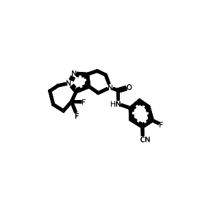 N#Cc1cc(NC(=O)N2CCc3nn4c(c3C2)C(F)(F)CCCC4)ccc1F